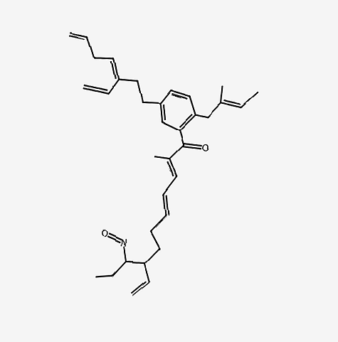 C=CC/C=C(\C=C)CCc1ccc(C/C(C)=C/C)c(C(=O)/C(C)=C/C=C/CCC(C=C)C(CC)N=O)c1